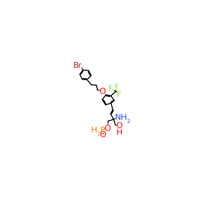 NC(C=Cc1ccc(OCCCc2ccc(Br)cc2)c(C(F)(F)F)c1)(CO)CO[PH2]=O